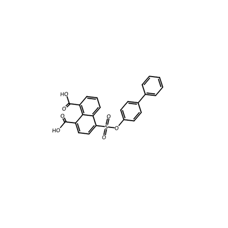 O=C(O)c1cccc2c(S(=O)(=O)Oc3ccc(-c4ccccc4)cc3)ccc(C(=O)O)c12